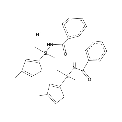 CC1=CCC([Si](C)(C)NC(=O)c2ccccc2)=C1.CC1=CCC([Si](C)(C)NC(=O)c2ccccc2)=C1.[Hf]